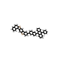 c1ccc(-c2c3ccccc3c(-c3ccc4cc(-c5ccc6sc7cc8c(cc7c6c5)sc5ccc6ccccc6c58)ccc4c3)c3ccccc23)cc1